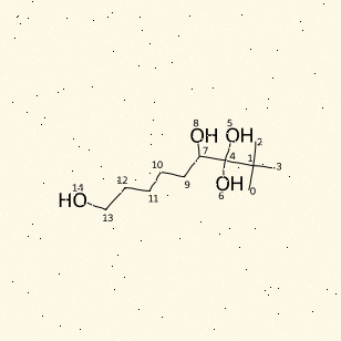 CC(C)(C)C(O)(O)C(O)CCCCCO